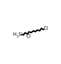 [SiH3]CCC(Cl)CCCCCCCCCl